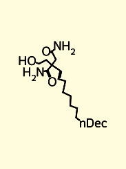 CCCCCCCCCCCCCCCCC=CC(CCO)(CC(N)=O)C(N)=O